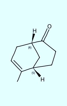 CC1=CC[C@H]2C[C@@H]1CCC2=O